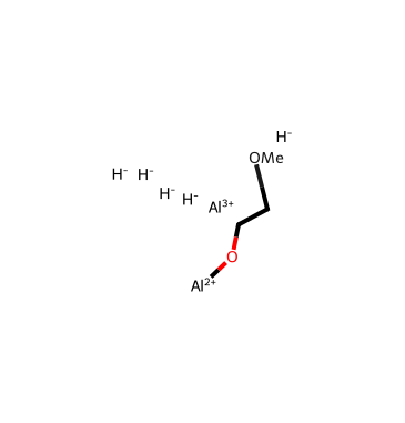 COCC[O][Al+2].[Al+3].[H-].[H-].[H-].[H-].[H-]